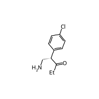 CCC(=O)[C@H](CN)c1ccc(Cl)cc1